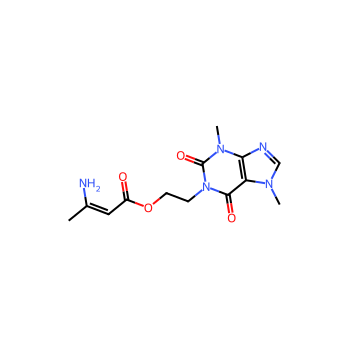 C/C(N)=C/C(=O)OCCn1c(=O)c2c(ncn2C)n(C)c1=O